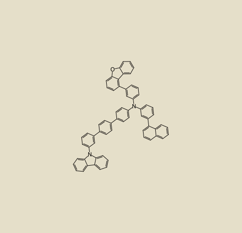 c1cc(-c2cccc3ccccc23)cc(N(c2ccc(-c3ccc(-c4cccc(-n5c6ccccc6c6ccccc65)c4)cc3)cc2)c2cccc(-c3cccc4oc5ccccc5c34)c2)c1